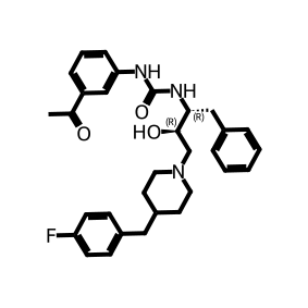 CC(=O)c1cccc(NC(=O)N[C@H](Cc2ccccc2)[C@H](O)CN2CCC(Cc3ccc(F)cc3)CC2)c1